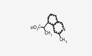 Cc1cc2c(C(C)C(=O)O)cccc2cn1